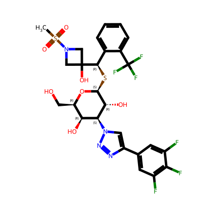 CS(=O)(=O)N1CC(O)([C@H](S[C@@H]2O[C@H](CO)[C@H](O)[C@H](n3cc(-c4cc(F)c(F)c(F)c4)nn3)[C@H]2O)c2ccccc2C(F)(F)F)C1